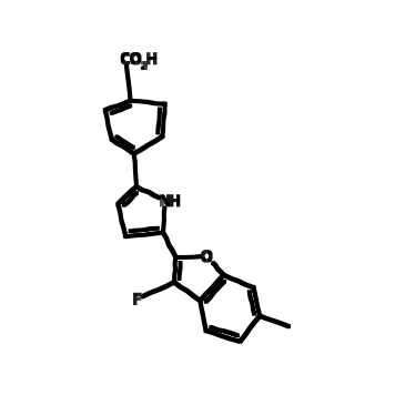 Cc1ccc2c(F)c(-c3ccc(-c4ccc(C(=O)O)cc4)[nH]3)oc2c1